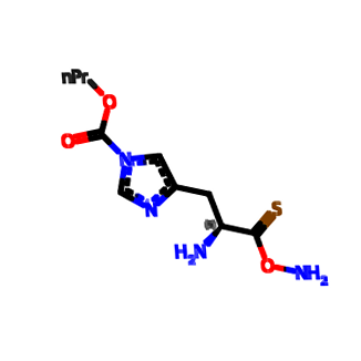 CCCOC(=O)n1cnc(C[C@H](N)C(=S)ON)c1